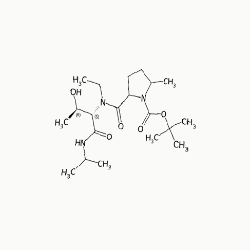 CCN(C(=O)C1CCC(C)N1C(=O)OC(C)(C)C)[C@H](C(=O)NC(C)C)[C@@H](C)O